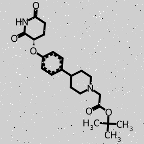 CC(C)(C)OC(=O)CN1CCC(c2ccc(O[C@H]3CCC(=O)NC3=O)cc2)CC1